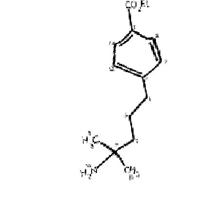 CCOC(=O)c1ccc(CCCC(C)(C)N)cc1